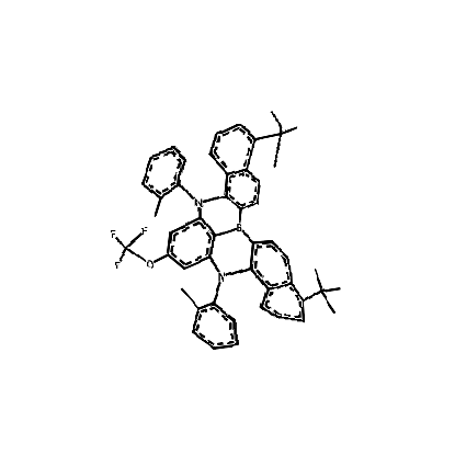 Cc1ccccc1N1c2cc(OC(F)(F)F)cc3c2B(c2ccc4c(C(C)(C)C)cccc4c21)c1ccc2c(C(C)(C)C)cccc2c1N3c1ccccc1C